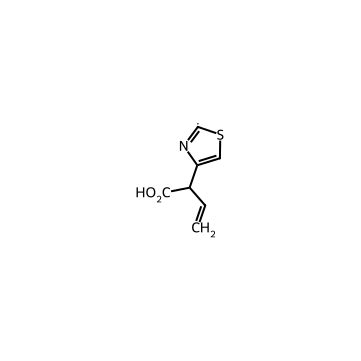 C=CC(C(=O)O)c1cs[c]n1